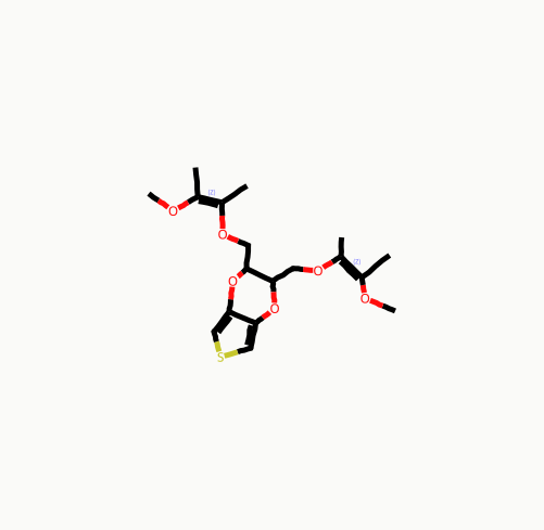 CO/C(C)=C(/C)OCC1Oc2cscc2OC1CO/C(C)=C(/C)OC